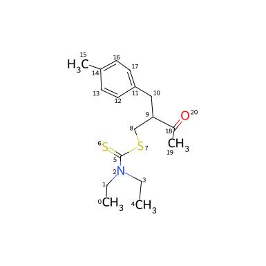 CCN(CC)C(=S)SCC(Cc1ccc(C)cc1)C(C)=O